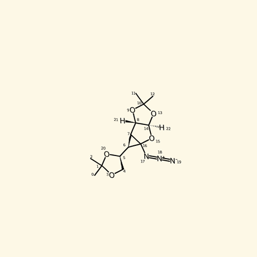 CC1(C)OC[C@H]([C@H]2C3[C@@H]4OC(C)(C)O[C@H]4OC32N=[N+]=[N-])O1